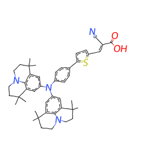 CC1(C)CCN2CCC(C)(C)c3cc(N(c4ccc(-c5ccc(/C=C(\C#N)C(=O)O)s5)cc4)c4cc5c6c(c4)C(C)(C)CCN6CCC5(C)C)cc1c32